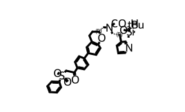 CC(C)(C)[Si](C)(C)O[C@@H](CN(C[C@H]1CCc2cc(-c3ccc(C(=O)CS(=O)(=O)c4ccccc4)cc3)ccc2O1)C(=O)O)c1cccnc1